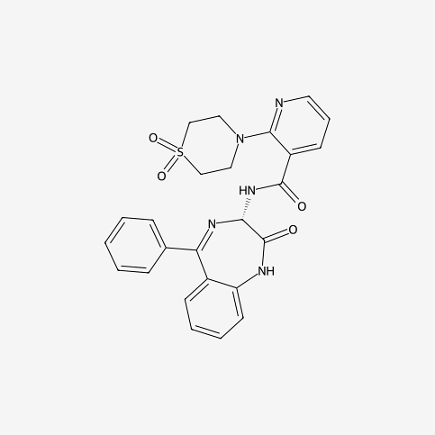 O=C(N[C@H]1N=C(c2ccccc2)c2ccccc2NC1=O)c1cccnc1N1CCS(=O)(=O)CC1